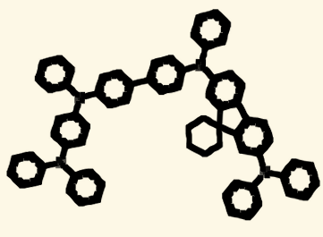 c1ccc(N(c2ccccc2)c2ccc(N(c3ccccc3)c3ccc(-c4ccc(N(c5ccccc5)c5ccc6c(c5)C5(CCCCC5)c5cc(N(c7ccccc7)c7ccccc7)ccc5-6)cc4)cc3)cc2)cc1